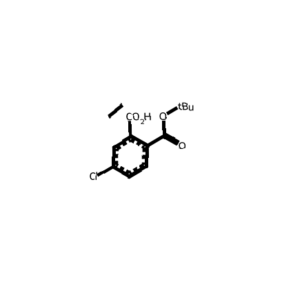 CC.CC(C)(C)OC(=O)c1ccc(Cl)cc1C(=O)O